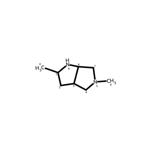 CC1CC2CN(C)CC2N1